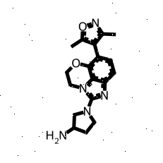 Cc1noc(C)c1-c1ccc2nc(N3CCC(N)C3)n3c2c1OCC3